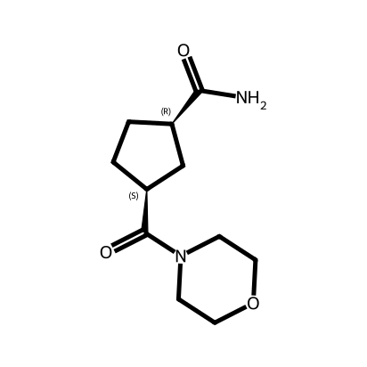 NC(=O)[C@@H]1CC[C@H](C(=O)N2CCOCC2)C1